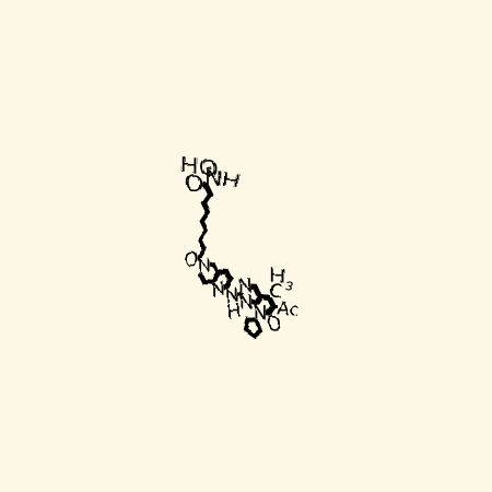 CC(=O)c1c(C)c2cnc(Nc3ccc4c(n3)CCN(C(=O)CCCCCCCC(=O)NO)C4)nc2n(C2CCCC2)c1=O